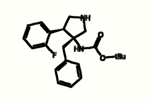 CC(C)(C)OC(=O)N[C@@]1(Cc2ccccc2)CNC[C@@H]1c1ccccc1F